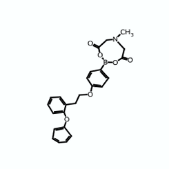 CN1CC(=O)OB(c2ccc(OCCc3ccccc3Oc3ccccc3)cc2)OC(=O)C1